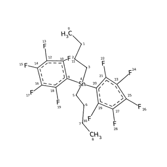 CCC[CH2][Sn]([CH2]CCC)([c]1c(F)c(F)c(F)c(F)c1F)[c]1c(F)c(F)c(F)c(F)c1F